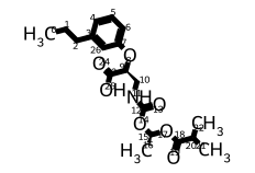 CCCc1cccc(O[C@@H](CNC(=O)O[C@H](C)OC(=O)C(C)C)C(=O)O)c1